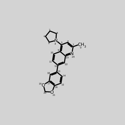 Cc1cc(N2CCCC2)c2ccc(-c3ccc4c(c3)OCO4)cc2n1